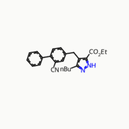 CCCCc1n[nH]c(C(=O)OCC)c1Cc1ccc(-c2ccccc2)c(C#N)c1